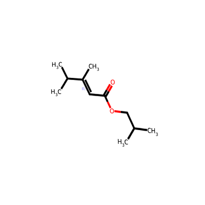 C/C(=C\C(=O)OCC(C)C)C(C)C